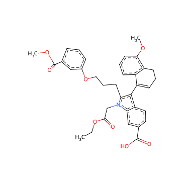 CCOC(=O)Cn1c(CCCOc2cccc(C(=O)OC)c2)c(C2=CCCc3c(OC)cccc32)c2ccc(C(=O)O)cc21